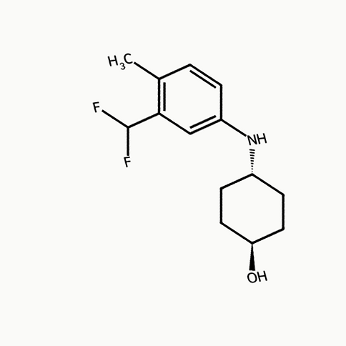 Cc1ccc(N[C@H]2CC[C@H](O)CC2)cc1C(F)F